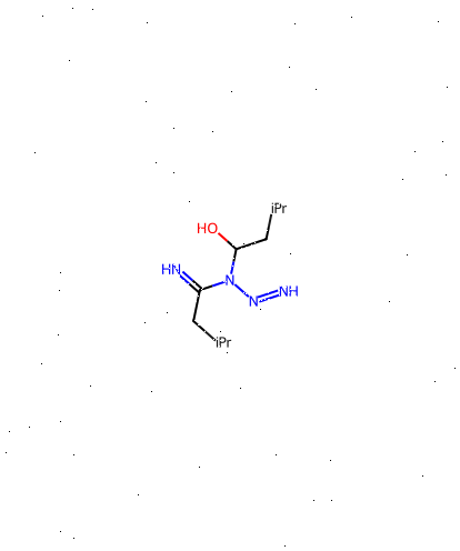 CC(C)CC(=N)N(N=N)C(O)CC(C)C